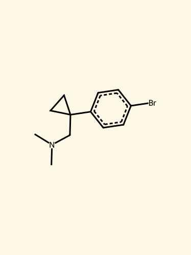 CN(C)CC1(c2ccc(Br)cc2)CC1